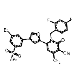 CCCS(=O)(=O)c1cc(CC)cc(-c2coc(-c3cc(C(F)(F)F)c(C#N)c(=O)n3Cc3ccc(F)cc3F)c2)c1